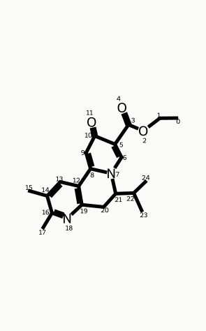 CCOC(=O)c1cn2c(cc1=O)-c1cc(C)c(C)nc1CC2C(C)C